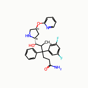 CC(C(O)[C@H]1C[C@H](Oc2ccccn2)CN1)C(CCC(N)=O)(c1ccccc1)c1cc(F)cc(F)c1